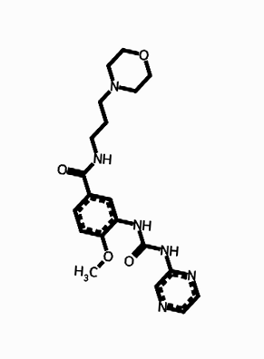 COc1ccc(C(=O)NCCCN2CCOCC2)cc1NC(=O)Nc1cnccn1